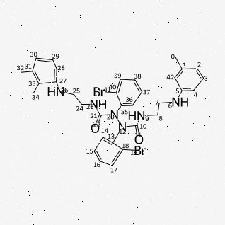 Cc1cccc(NCCNC(=O)N(c2ccccc2Br)N(C(=O)NCCNc2cccc(C)c2C)c2ccccc2Br)c1